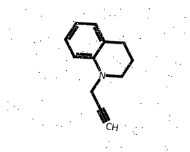 C#CCN1CCCc2ccccc21